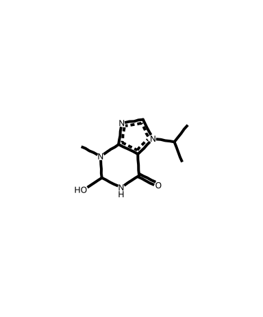 CC(C)n1cnc2c1C(=O)NC(O)N2C